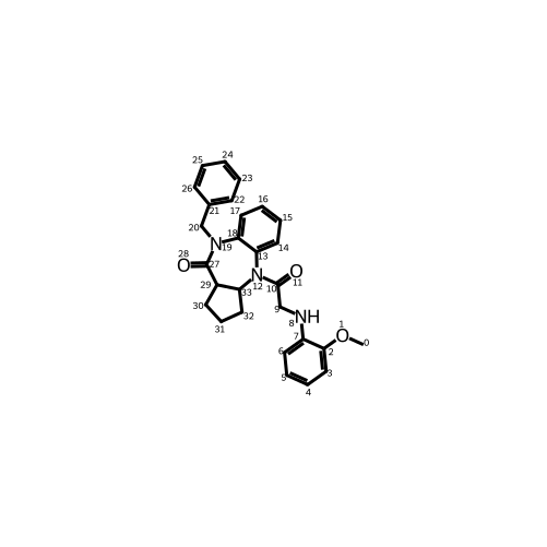 COc1ccccc1NCC(=O)N1c2ccccc2N(Cc2ccccc2)C(=O)C2CCCC21